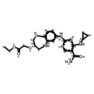 CCOC(=O)CO[C@H]1CNc2cc(Nc3ncc(C(N)=O)c(NC4CC4)n3)ccc2OC1